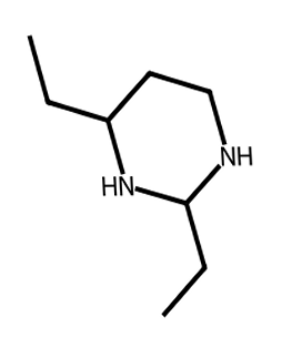 CCC1CCNC(CC)N1